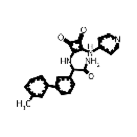 Cc1cccc(-c2cccc(C(Nc3c(Nc4ccncc4)c(=O)c3=O)C(N)=O)c2)c1